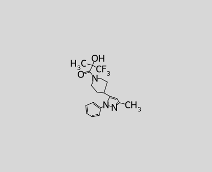 Cc1cc(C2CCN(C(=O)C(C)(O)C(F)(F)F)CC2)n(-c2ccccc2)n1